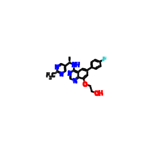 C[C@@H](Nc1ncnc2c(OCCO)cc(-c3ccc(F)cc3)cc12)c1cnc(C(F)(F)F)nc1